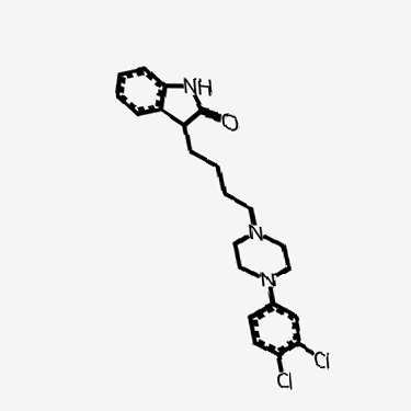 O=C1Nc2ccccc2C1CCCCN1CCN(c2ccc(Cl)c(Cl)c2)CC1